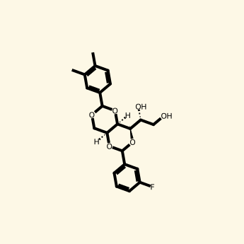 Cc1ccc(C2OC[C@@H]3OC(c4cccc(F)c4)O[C@H]([C@H](O)CO)[C@@H]3O2)cc1C